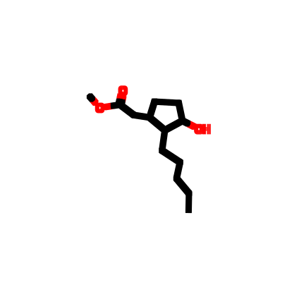 CCCCCC1C(O)CCC1CC(=O)OC